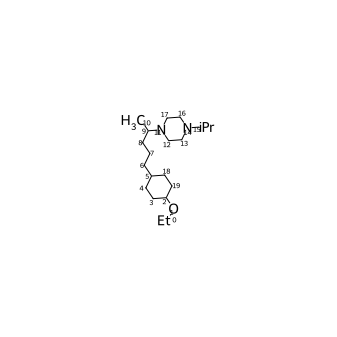 CCOC1CCC(CCCC(C)N2CCN(C(C)C)CC2)CC1